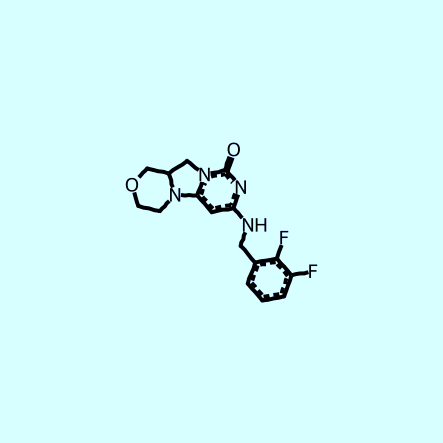 O=c1nc(NCc2cccc(F)c2F)cc2n1CC1COCCN21